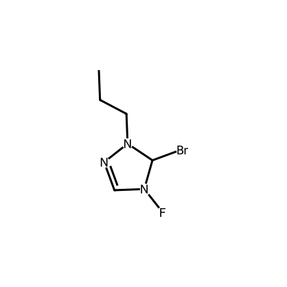 CCCN1N=CN(F)C1Br